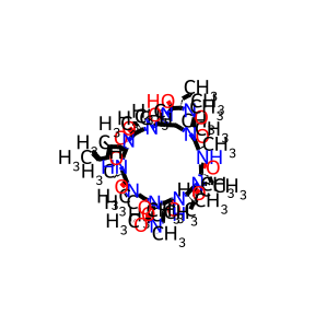 C/C=C/C[C@@H](C)[C@H]1ON2C(=O)[C@H](C(C)C)N(C)C(=O)[C@@H]3CC(C)N(C(=O)[C@H](C)NC(=O)[C@H](CC(C)C)N(C)C(=O)[C@H](C(C)C)NC(=O)[C@H](C(C)(C)CN(C)C(=O)OC)N(C)C(=O)[C@@H](C)N(C)C(=O)[C@H](CC)NC(=O)[C@H]12)[C@H](C)C(=O)N(C)[C@@H](CC(C)C)C(O)N3C